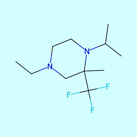 CCN1CCN(C(C)C)C(C)(C(F)(F)F)C1